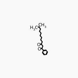 CC(C)CCCCCCCC(=O)CC(=O)c1ccccc1